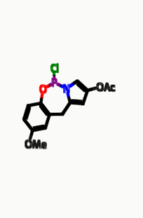 COc1ccc2c(c1)Cc1cc(OC(C)=O)cn1P(Cl)O2